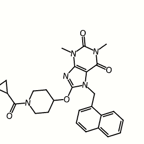 Cn1c(=O)c2c(nc(OC3CCN(C(=O)C4CC4)CC3)n2Cc2cccc3ccccc23)n(C)c1=O